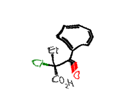 CCC(Cl)(C(=O)O)C(=O)c1ccccc1